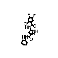 O=C(Nc1ccccc1)c1cc(NC(=O)c2cc(F)c(F)cc2Cl)[nH]n1